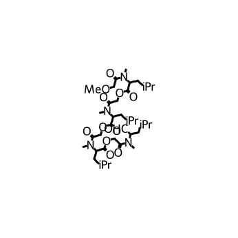 COCC(=O)N(C)C(CC(C)C)C(=O)OCC(=O)N(C)C(CC(C)C)C(=O)OCC(=O)N(C)C(CC(C)C)C(=O)OCC(=O)N(C)C(C=O)CC(C)C